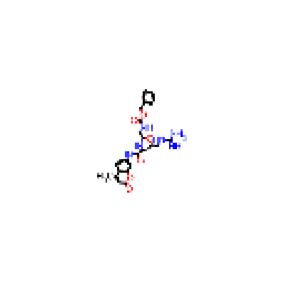 Cc1cc(=O)oc2cc(NC(=O)[C@H](CCCNC(=N)N)NC(=O)CNC(=O)OCc3ccccc3)ccc12